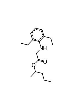 CCCC(C)OC(=O)CNc1c(CC)cccc1CC